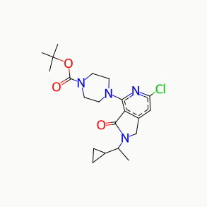 CC(C1CC1)N1Cc2cc(Cl)nc(N3CCN(C(=O)OC(C)(C)C)CC3)c2C1=O